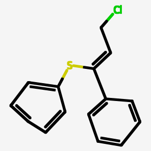 ClC/C=C(\Sc1ccccc1)c1ccccc1